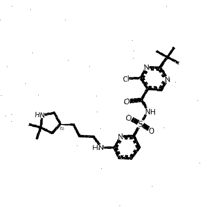 CC1(C)C[C@H](CCCNc2cccc(S(=O)(=O)NC(=O)c3cnc(C(C)(C)C)nc3Cl)n2)CN1